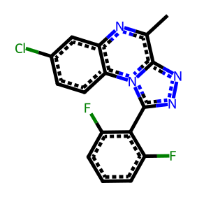 Cc1nc2cc(Cl)ccc2n2c(-c3c(F)cccc3F)nnc12